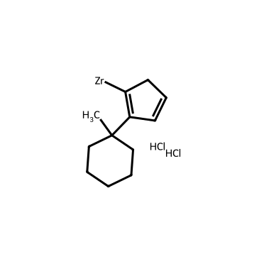 CC1(C2=[C]([Zr])CC=C2)CCCCC1.Cl.Cl